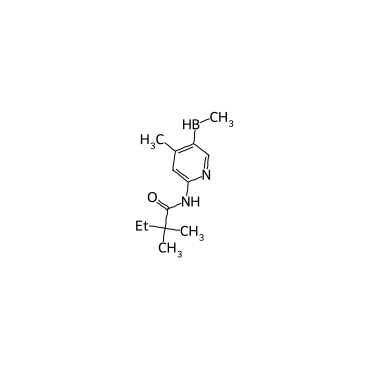 CBc1cnc(NC(=O)C(C)(C)CC)cc1C